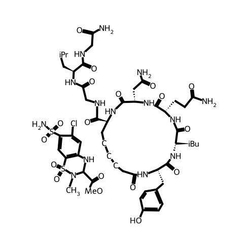 CC[C@H](C)[C@@H]1NC(=O)[C@H](Cc2ccc(O)cc2)NC(=O)CCCCC[C@@H](C(=O)NCC(=O)N[C@@H](CC(C)C)C(=O)NCC(N)=O)NC(=O)[C@H](CC(N)=O)NC(=O)[C@H](CCC(N)=O)NC1=O.COC(=O)C1Nc2cc(Cl)c(S(N)(=O)=O)cc2S(=O)(=O)N1C